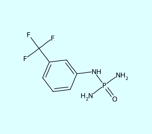 NP(N)(=O)Nc1cccc(C(F)(F)F)c1